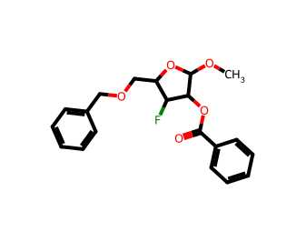 COC1OC(COCc2ccccc2)C(F)C1OC(=O)c1ccccc1